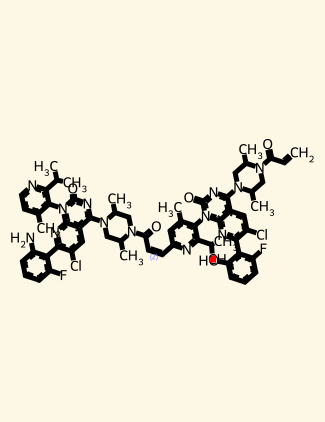 C=CC(=O)N1CC(C)N(c2nc(=O)n(-c3c(C)cc(/C=C\C(=O)N4CC(C)N(c5nc(=O)n(-c6c(C)ccnc6C(C)C)c6nc(-c7c(N)cccc7F)c(Cl)cc56)CC4C)nc3C(C)C)c3nc(-c4c(O)cccc4F)c(Cl)cc23)CC1C